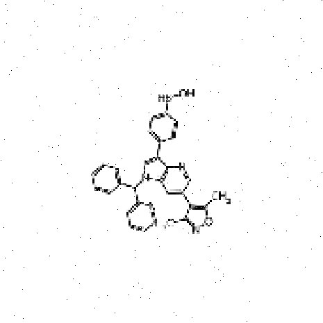 Cc1noc(C)c1-c1cnc2c(-c3ccc(BO)cc3)cn([C@H](c3ccccc3)c3ccccn3)c2c1